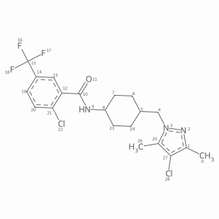 Cc1nn(CC2CCC(NC(=O)c3cc(C(F)(F)F)ccc3Cl)CC2)c(C)c1Cl